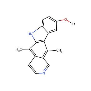 CCOc1ccc2[nH]c3c(C)c4ccncc4c(C)c3c2c1